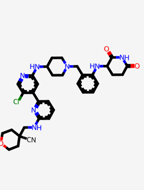 N#CC1(CNc2cccc(-c3cc(NC4CCN(Cc5ccccc5NC5CCC(=O)NC5=O)CC4)ncc3Cl)n2)CCOCC1